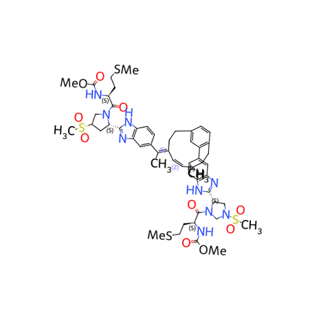 COC(=O)N[C@@H](CCSC)C(=O)N1CC(S(C)(=O)=O)C[C@H]1c1nc2cc(/C(C)=C3/C=C\[C@H](C)CCc4ccc(cc4-c4ccc5[nH]c([C@@H]6CN(S(C)(=O)=O)CN6C(=O)[C@H](CCSC)NC(=O)OC)nc5c4)CC3)ccc2[nH]1